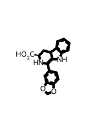 O=C(O)[C@H]1CC2C(=C(c3ccc4c(c3)OCO4)N1)Nc1ccccc12